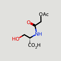 CC(=O)OCC(=O)N[C@@H](CO)C(=O)O